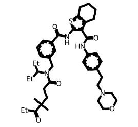 CCC(=O)C(C)(C)CCC(=O)N(Cc1cccc(C(=O)Nc2sc3c(c2C(=O)Nc2ccc(CCN4CCOCC4)cc2)CCCC3)c1)C(CC)CC